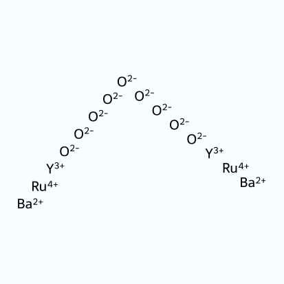 [Ba+2].[Ba+2].[O-2].[O-2].[O-2].[O-2].[O-2].[O-2].[O-2].[O-2].[O-2].[Ru+4].[Ru+4].[Y+3].[Y+3]